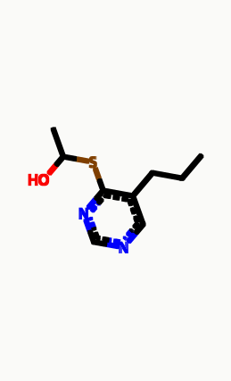 CCCc1cncnc1SC(C)O